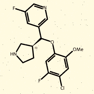 COc1cc(Cl)c(F)cc1OC(c1cncc(F)c1)[C@H]1CCNC1